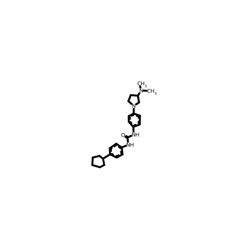 CN(C)C1CCN(c2ccc(NC(=O)Nc3ccc(C4CCCCC4)cc3)cc2)C1